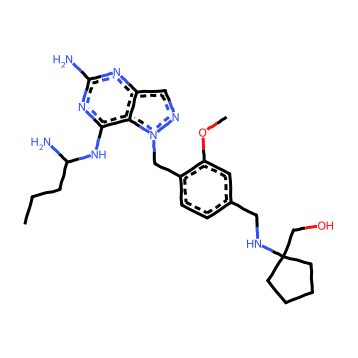 CCCC(N)Nc1nc(N)nc2cnn(Cc3ccc(CNC4(CO)CCCC4)cc3OC)c12